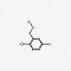 CCOCc1cc(Cl)c[c]c1[N+](=O)[O-]